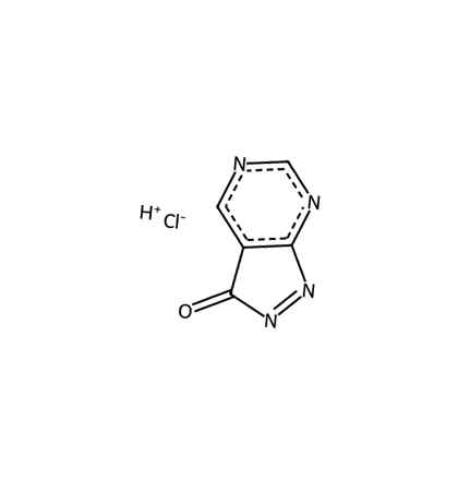 O=C1N=Nc2ncncc21.[Cl-].[H+]